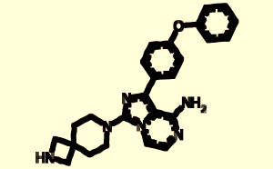 Nc1nccn2c(N3CCC4(CC3)CNC4)nc(-c3ccc(Oc4ccccc4)cc3)c12